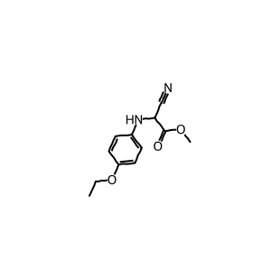 CCOc1ccc(NC(C#N)C(=O)OC)cc1